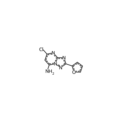 Nc1cc(Cl)nc2nc(-c3ccco3)nn12